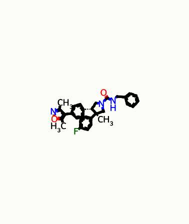 Cc1noc(C)c1-c1ccc([C@@H]2CN(C(=O)NCc3ccccc3)C[C@]2(C)c2ccc(F)cc2)cc1